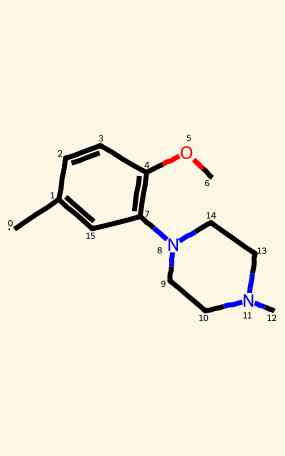 [CH2]c1ccc(OC)c(N2CCN(C)CC2)c1